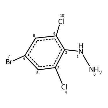 NNc1c(Cl)cc(Br)cc1Cl